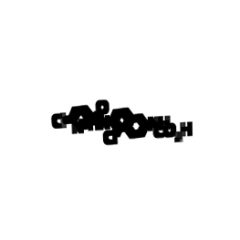 O=C(O)NC1CCc2c(ccc(NC(=O)c3ccc(Cl)nc3)c2Cl)C1